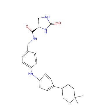 CC1(C)CCC(c2ccc(Nc3ccc(CNC(=O)[C@H]4CNC(=O)N4)cc3)cc2)CC1